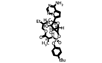 CCC(CC)COC(=O)[C@H](C)NP(=O)(Oc1ccc(C(C)(C)C)cc1)OC1[C@H]2O[C@@](C)(c3ccc4c(N)ncnn34)[C@H](O)[C@@]12O